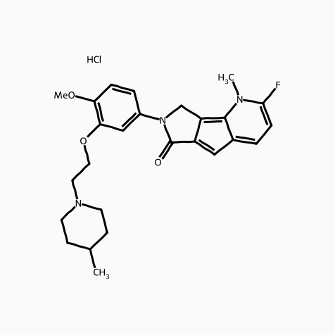 COc1ccc(N2Cc3c(cc4ccc(F)n(C)c3-4)C2=O)cc1OCCN1CCC(C)CC1.Cl